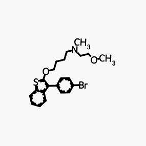 COCCN(C)CCCCOc1sc2ccccc2c1-c1ccc(Br)cc1